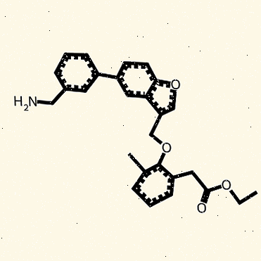 CCOC(=O)Cc1cccc(C)c1OCc1coc2ccc(-c3cccc(CN)c3)cc12